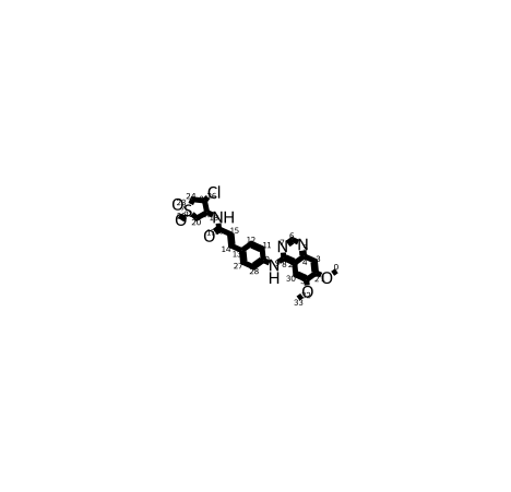 COc1cc2ncnc(Nc3ccc(C=CC(=O)NC4CS(=O)(=O)CC4Cl)cc3)c2cc1OC